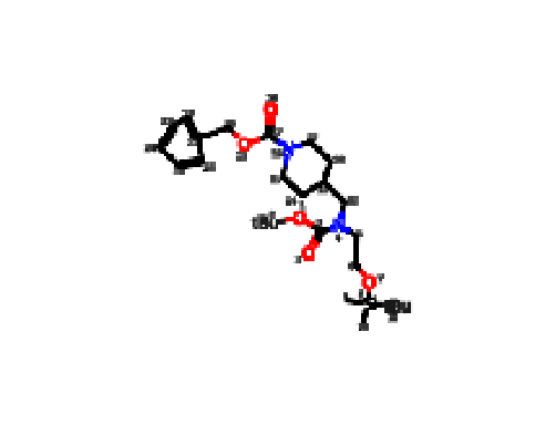 CC(C)(C)OC(=O)N(CCO[Si](C)(C)C(C)(C)C)CC1CCN(C(=O)OCc2ccccc2)CC1